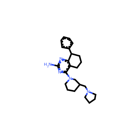 Nc1nc2c(c(N3CCCC(CN4CCCC4)C3)n1)CCCC2c1ccccc1